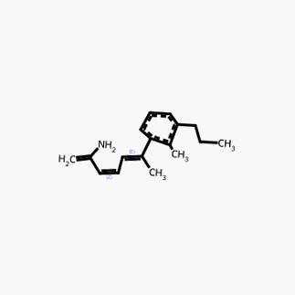 C=C(N)/C=C\C=C(/C)c1cccc(CCC)c1C